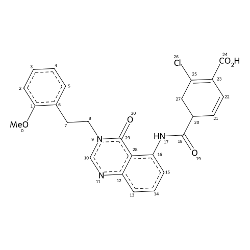 COc1ccccc1CCn1cnc2cccc(NC(=O)C3C=CC(C(=O)O)=C(Cl)C3)c2c1=O